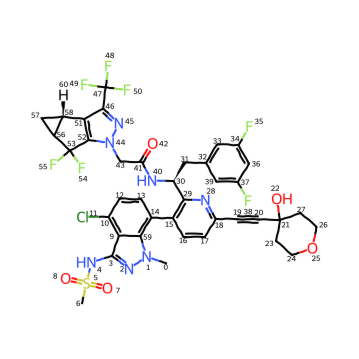 Cn1nc(NS(C)(=O)=O)c2c(Cl)ccc(-c3ccc(C#CC4(O)CCOCC4)nc3[C@H](Cc3cc(F)cc(F)c3)NC(=O)Cn3nc(C(F)(F)F)c4c3C(F)(F)C3C[C@H]43)c21